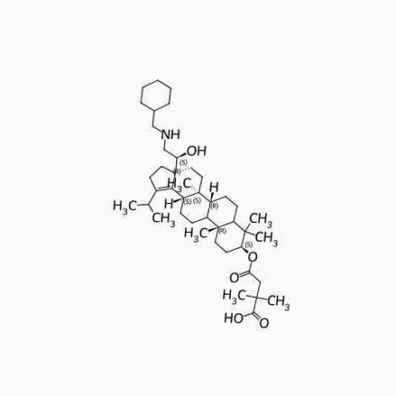 CC(C)C1=C2[C@H]3CCC4[C@@H](CCC5C(C)(C)[C@@H](OC(=O)CC(C)(C)C(=O)O)CC[C@]45C)[C@]3(C)CC[C@@]2([C@H](O)CNCC2CCCCC2)CC1